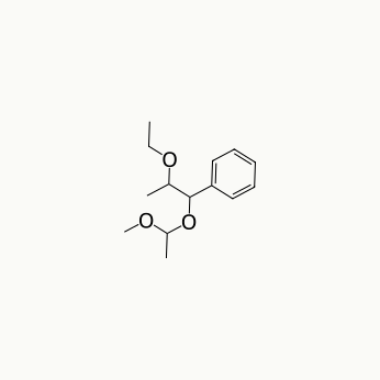 CCOC(C)C(OC(C)OC)c1ccccc1